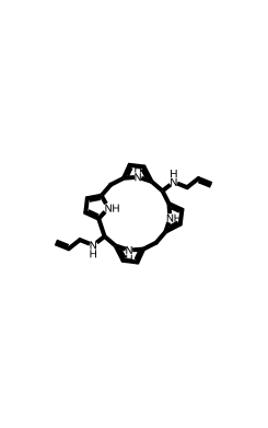 C=CCNC1c2ccc([nH]2)Cc2ccc([nH]2)C(NCC=C)c2ccc([nH]2)Cc2ccc1[nH]2